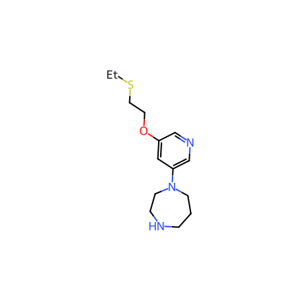 CCSCCOc1cncc(N2CCCNCC2)c1